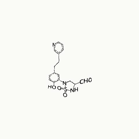 O=CC1CN(c2cc(CCc3cccnc3)ccc2O)S(=O)(=O)N1